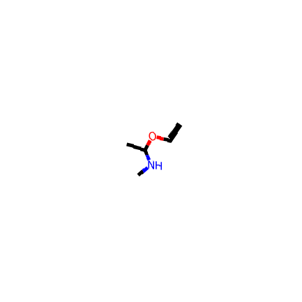 C=COC(C)NC